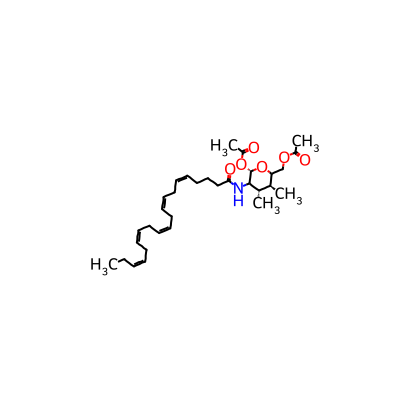 CC/C=C\C/C=C\C/C=C\C/C=C\C/C=C\CCCC(=O)NC1[C@H](OC(C)=O)OC(COC(C)=O)[C@@H](C)[C@@H]1C